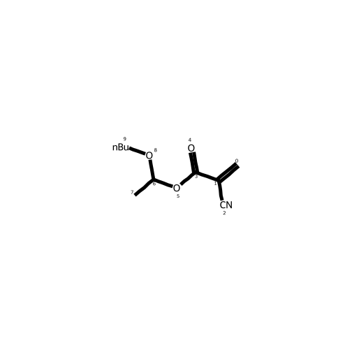 C=C(C#N)C(=O)OC(C)OCCCC